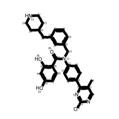 Cc1cnc(Cl)nc1-c1ccc(N(Cc2cccc(CC3CCNCC3)c2)C(=O)c2ccc(O)cc2O)cc1